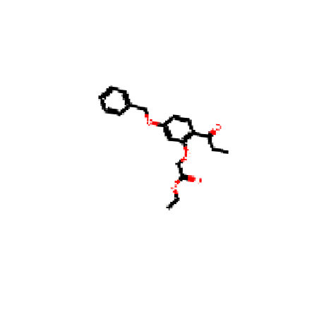 CCOC(=O)COc1cc(OCc2ccccc2)ccc1C(=O)CC